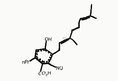 CCCc1cc(O)c(C/C=C(\C)CCC=C(C)C)c(N=O)c1C(=O)O